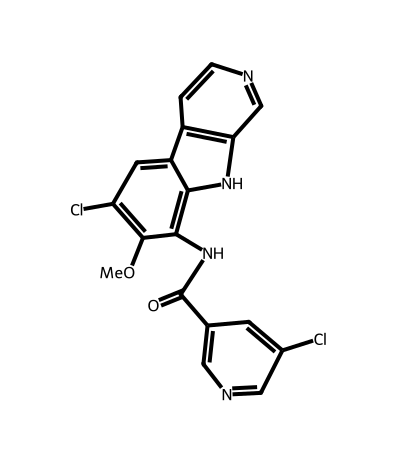 COc1c(Cl)cc2c([nH]c3cnccc32)c1NC(=O)c1cncc(Cl)c1